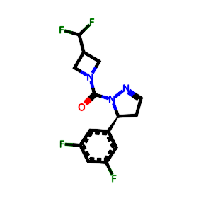 O=C(N1CC(C(F)F)C1)N1N=CC[C@H]1c1cc(F)cc(F)c1